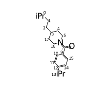 CC(C)CCC1CCN(C(=O)c2ccc(C(C)C)cc2)CC1